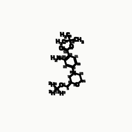 [2H]C([2H])([2H])OC[C@H]1CN(c2ccc(C(=O)OC(C)(C)C)c(N)c2)CCO1